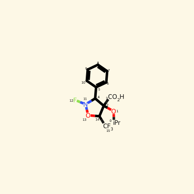 CC(C)OC1(C(=O)O)C(c2ccccc2)N(F)OC1C(F)(F)F